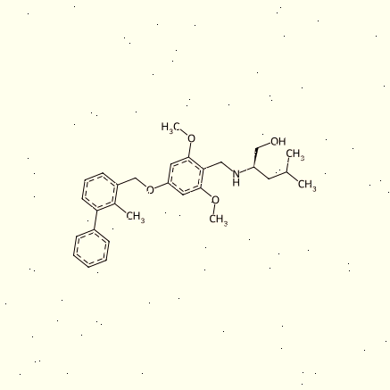 COc1cc(OCc2cccc(-c3ccccc3)c2C)cc(OC)c1CN[C@@H](CO)CC(C)C